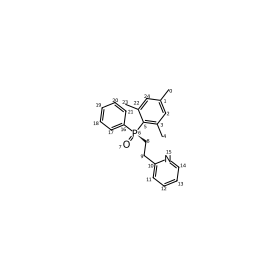 Cc1cc(C)c([P@@](=O)(CCc2ccccn2)c2ccccc2)c(C)c1